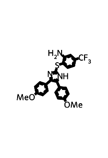 COc1ccc(-c2nc(Sc3ccc(C(F)(F)F)cc3N)[nH]c2-c2ccc(OC)cc2)cc1